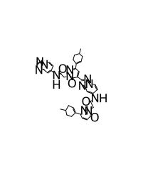 CC1CC=C(c2ccc(=O)n(CC(=O)Nc3ccn4nc(-c5cc(C6=CCC(C)CC6)nn(CC(=O)Nc6ccn7ncnc7c6)c5=O)nc4c3)n2)CC1